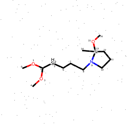 COC(OC)[SiH2]CCCN1CCC[Si]1(C)OC